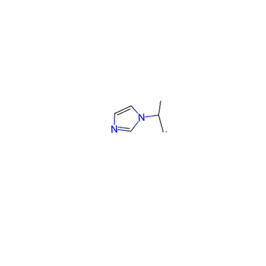 [CH2]C(C)n1ccnc1